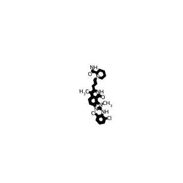 Cc1c(CC=CN2CCCCC2C(N)=O)[nH]c(=O)c2c1ccc1nc(Nc3c(Cl)cccc3Cl)n(C)c12